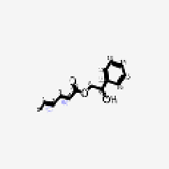 C/C=C/C=C/C(=O)OCC(O)c1ccccc1